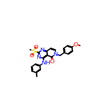 COc1ccc(Cn2ccc3nc(S(C)(=O)=O)nc(Nc4cccc(C)c4)c3c2=O)cc1